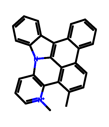 Cc1ccc2c3ccccc3c3c4ccccc4n4c5ccc[n+](C)c5c1c2c34